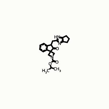 CC(C)OC(=O)N1CC2(C1)C(=O)C(Cc1nc3c([nH]1)CCC3)c1ccccc12